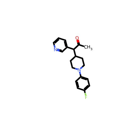 CC(=O)C(c1cccnc1)C1CCN(c2ccc(F)cc2)CC1